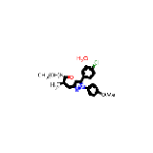 COc1ccc(-n2nc(CC(C)C(=O)N(C)O)cc2-c2ccc(Cl)cc2)cc1.O